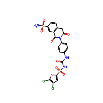 NS(=O)(=O)c1ccc2c(c1)C(=O)N(c1ccc(NC(=O)NS(=O)(=O)c3cc(Cl)c(Cl)s3)cc1)C(=O)C2